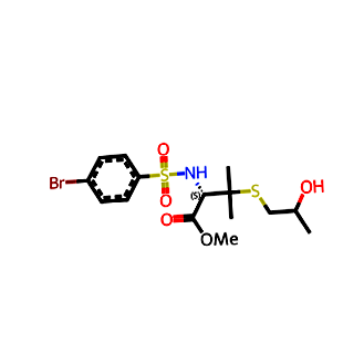 COC(=O)[C@H](NS(=O)(=O)c1ccc(Br)cc1)C(C)(C)SCC(C)O